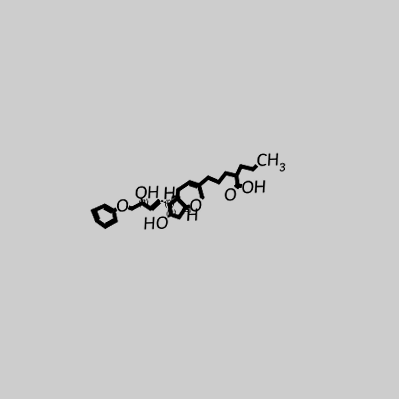 CCCC(CCCC1=CC[C@@H]2[C@@H](C=C[C@@H](O)COc3ccccc3)[C@H](O)C[C@@H]2OC1)C(=O)O